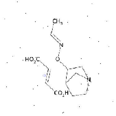 CC=NOC1CN2CCC1C2.O=C(O)/C=C/C(=O)O